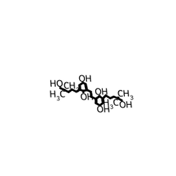 CC(C)(CO)CCCC1=CC(O)C=C(CCC2=CC(O)C=C(CCCC(C)(C)CO)C2O)C1O